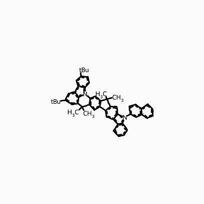 CC(C)(C)c1ccc2c(c1)c1cc(C(C)(C)C)cc3c1n2-c1cc2c(cc1C3(C)C)-c1cc3c4ccccc4n(-c4ccc5ccccc5c4)c3cc1C2(C)C